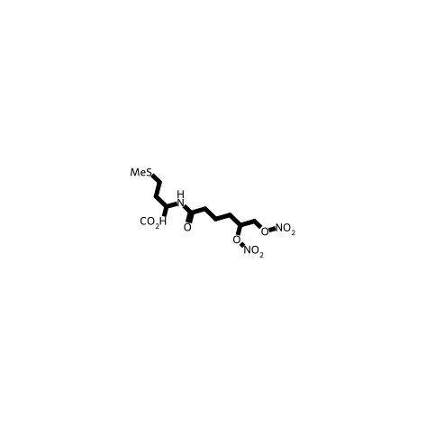 CSCCC(NC(=O)CCCC(CO[N+](=O)[O-])O[N+](=O)[O-])C(=O)O